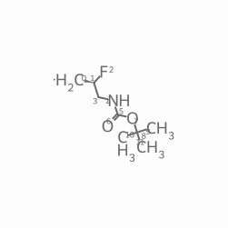 [CH2][C@@H](F)CNC(=O)OC(C)(C)C